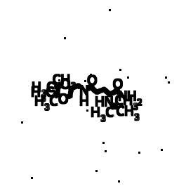 CC(C)(C)NC(CCC(=O)NCC1COC(C)(C)C(C)(C)O1)C(N)=O